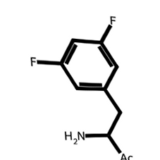 CC(=O)C(N)Cc1cc(F)cc(F)c1